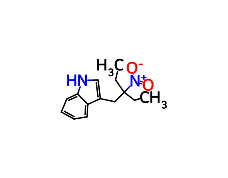 CCC(CC)(Cc1c[nH]c2ccccc12)[N+](=O)[O-]